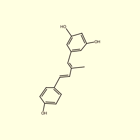 CC(C=Cc1ccc(O)cc1)=Cc1cc(O)cc(O)c1